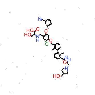 Cc1c(COc2cc(OCc3cccc(C#N)c3)c(CNC(CO)C(=O)O)cc2Cl)cccc1-c1cccc(-c2nnc(CN3CCC(CO)CC3)o2)c1C